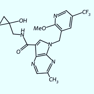 COc1ncc(C(F)(F)F)cc1Cn1cc(C(=O)NCC2(O)CC2)c2ncc(C)nc21